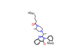 CCCCCCCCCCCCCC(=O)N1CCN(C(C)c2nc3ccccc3c(=O)n2-c2ccccc2OC)CC1C